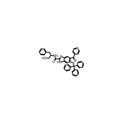 O=C(NC(CO)Cc1ccccc1)c1nc2cc3c(-c4ccncc4)nn(C(c4ccccc4)(c4ccccc4)c4ccccc4)c3cc2[nH]1